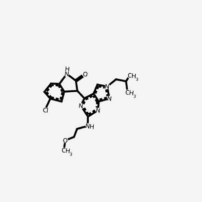 COCCNc1nc(C2C(=O)Nc3ccc(Cl)cc32)c2cn(CC(C)C)nc2n1